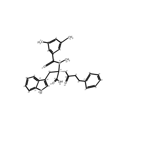 Cc1cc(C)cc(C(=O)N(C)[C@](CC(=O)CCc2ccccc2)(Cc2c[nH]c3ccccc23)C(=O)O)c1